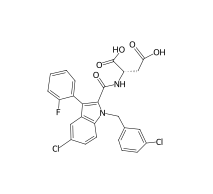 O=C(O)C[C@H](NC(=O)c1c(-c2ccccc2F)c2cc(Cl)ccc2n1Cc1cccc(Cl)c1)C(=O)O